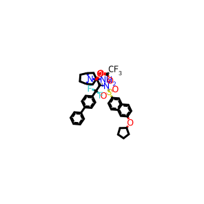 NC1CC2CCC(C1)N2C(=O)[C@@H](N(OC(=O)C(F)(F)F)S(=O)(=O)c1ccc2cc(OC3CCCC3)ccc2c1)C(F)(F)c1ccc(-c2ccccc2)cc1